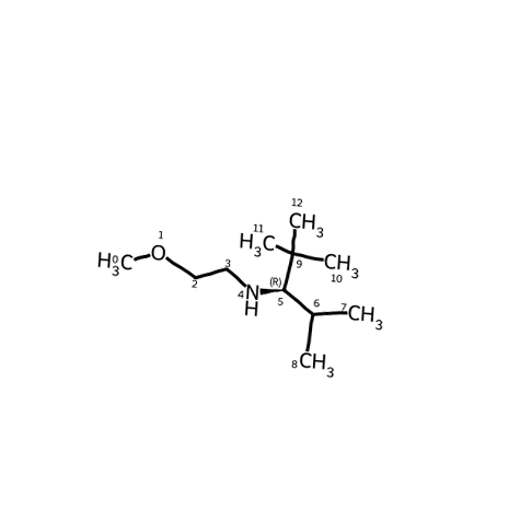 COCCN[C@H](C(C)C)C(C)(C)C